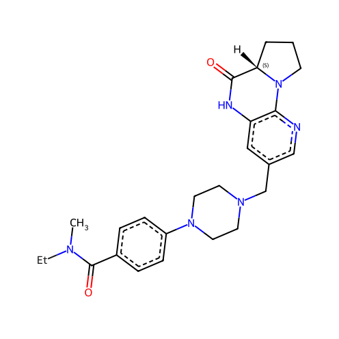 CCN(C)C(=O)c1ccc(N2CCN(Cc3cnc4c(c3)NC(=O)[C@@H]3CCCN43)CC2)cc1